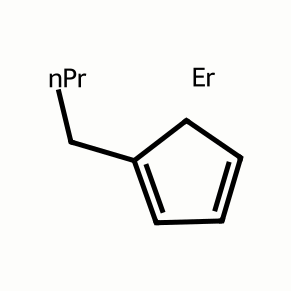 CCCCC1=CC=CC1.[Er]